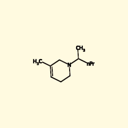 CCCC(C)N1CCC=C(C)C1